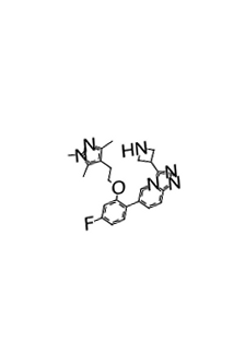 Cc1nn(C)c(C)c1CCOc1cc(F)ccc1-c1ccc2nnc(C3CNC3)n2c1